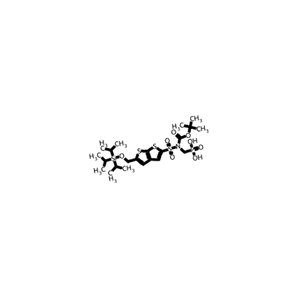 CC(C)[Si](OCc1cc2cc(S(=O)(=O)N(CP(=O)(O)O)C(=O)OC(C)(C)C)sc2s1)(C(C)C)C(C)C